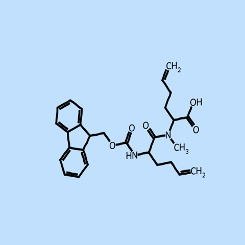 C=CCCC(NC(=O)OCC1c2ccccc2-c2ccccc21)C(=O)N(C)C(CCC=C)C(=O)O